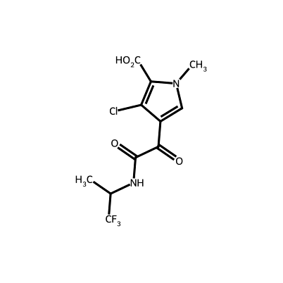 CC(NC(=O)C(=O)c1cn(C)c(C(=O)O)c1Cl)C(F)(F)F